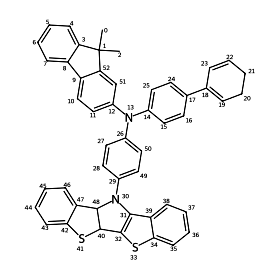 CC1(C)c2ccccc2-c2ccc(N(c3ccc(C4=CCCC=C4)cc3)c3ccc(N4c5c(sc6ccccc56)C5Sc6ccccc6C54)cc3)cc21